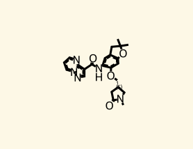 CN1C[C@@H](COc2cc3c(cc2NC(=O)c2cnn4cccnc24)CC(C)(C)O3)CC1=O